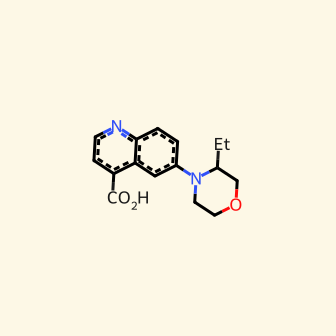 CCC1COCCN1c1ccc2nccc(C(=O)O)c2c1